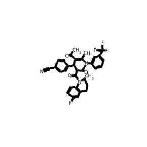 CC(=O)C1=C(C)N(c2cccc(C(F)(F)F)c2)C(=O)C(C(=O)N2c3ccc(F)cc3CCC2C)C1c1ccc(C#N)cc1